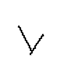 [CH2]CCC(CCCCCCCCCCCCCC)CCCCCCCCCCCCCCCCCCCC